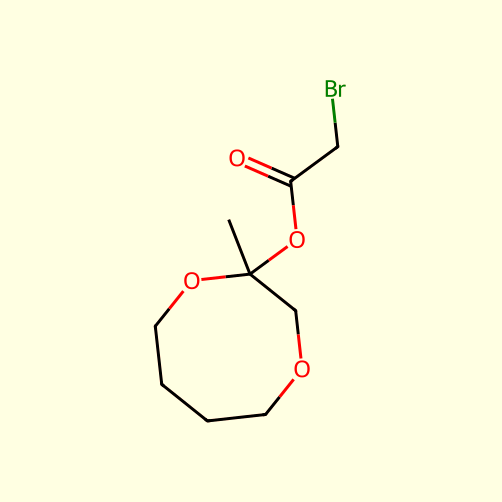 CC1(OC(=O)CBr)COCCCCO1